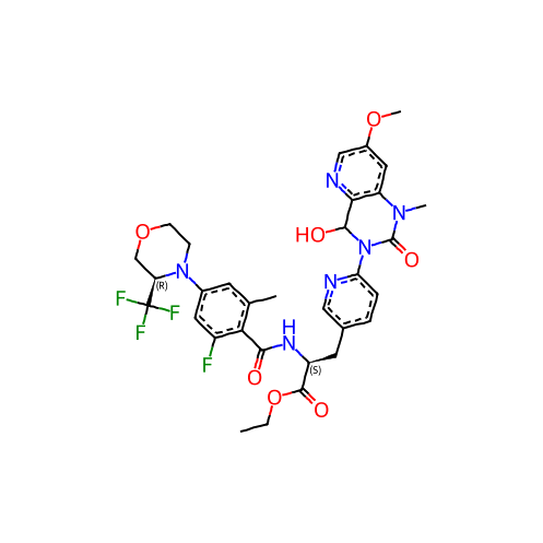 CCOC(=O)[C@H](Cc1ccc(N2C(=O)N(C)c3cc(OC)cnc3C2O)nc1)NC(=O)c1c(C)cc(N2CCOC[C@@H]2C(F)(F)F)cc1F